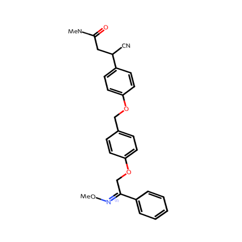 CNC(=O)CC(C#N)c1ccc(OCc2ccc(OC/C(=N\OC)c3ccccc3)cc2)cc1